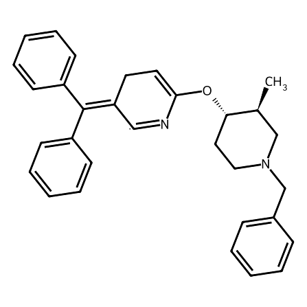 C[C@H]1CN(Cc2ccccc2)CC[C@@H]1OC1=CCC(=C(c2ccccc2)c2ccccc2)[C]=N1